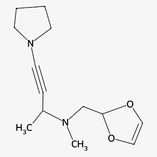 CC(C#CN1CCCC1)N(C)CC1OC=CO1